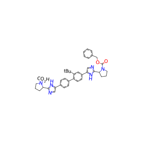 CC(C)(C)c1cc(-c2cnc(C3CCCN3C(=O)OCc3ccccc3)[nH]2)ccc1-c1ccc(-c2cnc(C3CCCN3C(=O)O)[nH]2)cc1